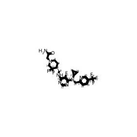 NC(=O)CN1CC[C@H](CNc2ncnc(N(Cc3ccc(C(F)(F)F)cn3)C3CC3)c2F)C(F)(F)C1